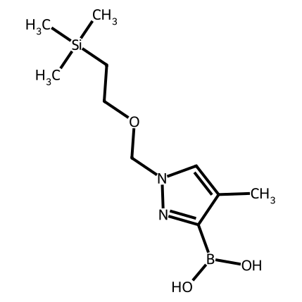 Cc1cn(COCC[Si](C)(C)C)nc1B(O)O